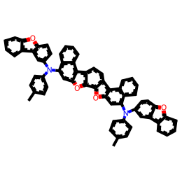 Cc1ccc(N(c2ccc3oc4ccccc4c3c2)c2cc3oc4c(ccc5c4oc4cc(N(c6ccc(C)cc6)c6ccc7oc8ccccc8c7c6)c6ccccc6c45)c3c3ccccc23)cc1